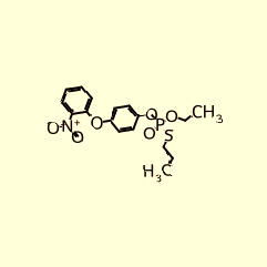 CCCSP(=O)(OCC)Oc1ccc(Oc2ccccc2[N+](=O)[O-])cc1